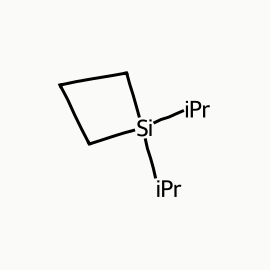 CC(C)[Si]1(C(C)C)CCC1